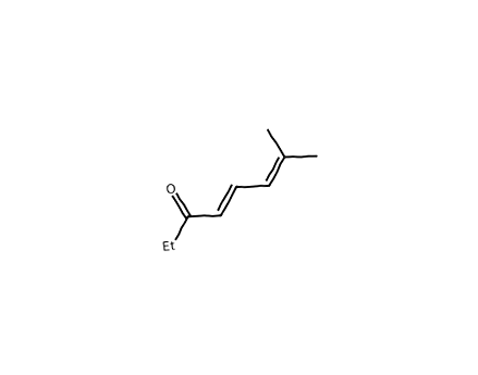 CCC(=O)C=CC=C(C)C